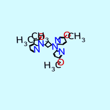 COc1ccc(N(c2ccc(OC)cn2)C2CC(N3C(=O)C(C)(C)c4cccnc43)C2)nc1